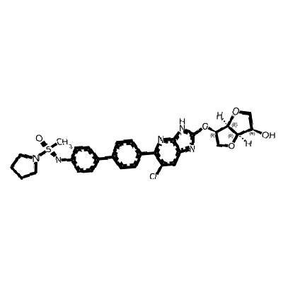 CS(=O)(=Nc1ccc(-c2ccc(-c3nc4[nH]c(O[C@@H]5CO[C@H]6[C@@H]5OC[C@H]6O)nc4cc3Cl)cc2)cc1)N1CCCC1